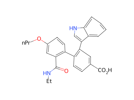 CCCOc1ccc(-c2ccc(C(=O)O)cc2-c2c[nH]c3ccccc23)c(C(=O)NCC)c1